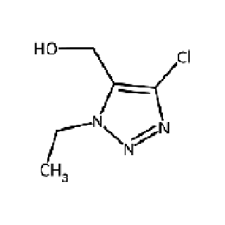 CCn1nnc(Cl)c1CO